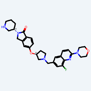 O=C1c2ccc(O[C@H]3CCN(Cc4cc(F)c5nc(N6CCOCC6)ccc5c4)C3)cc2CN1[C@H]1CCCNC1